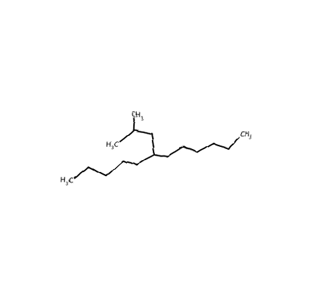 CCCCCCC(CCCCC)CC(C)C